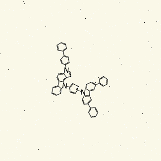 c1ccc(-c2ccc(-n3ccc4c3ccc3c5ccccc5n(-c5ccc(-n6c7ccc(-c8ccccc8)cc7c7cc(-c8ccccc8)ccc76)cc5)c34)cc2)cc1